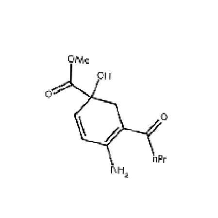 CCCC(=O)C1=C(N)C=CC(O)(C(=O)OC)C1